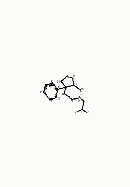 CC(C)CN1CCC2(c3ccccc3)CCCC2C1